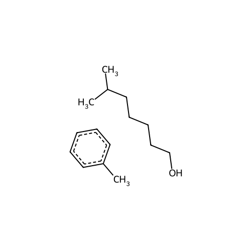 CC(C)CCCCCO.Cc1ccccc1